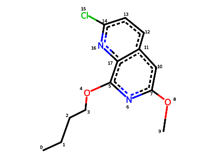 CCCCOc1nc(OC)cc2ccc(Cl)nc12